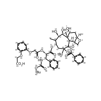 CC(=O)O[C@@]12CO[C@@H]1C[C@H](O)[C@@]1(C)[C@H](O)[C@H](O)C(C)[C@@H](OC(=O)[C@H](OC(=O)COc3ccccc3OCC(=O)O)[C@@H](NC(=O)OC(C)(C)C)c3ccccc3)CC(O)(C(C)(C)C)[C@@H](OC(=O)c3ccccc3)[C@H]21